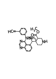 C#Cc1cccc(Nc2ncnc3cccc(C(N)C4CCNCC4C(=O)OC)c23)c1